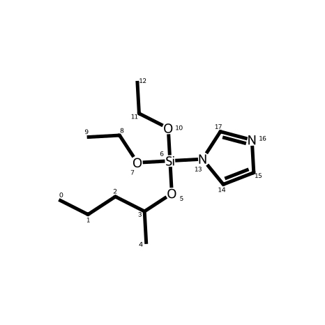 CCCC(C)O[Si](OCC)(OCC)n1ccnc1